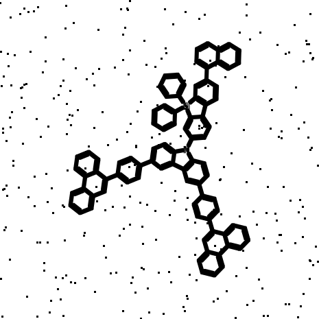 c1ccc([Si]2(c3ccccc3)c3cc(-c4cccc5ccccc45)ccc3-c3ccc(-n4c5ccc(-c6ccc(-c7cc8ccccc8c8ccccc78)cc6)cc5c5cc(-c6ccc(-c7cc8ccccc8c8ccccc78)cc6)ccc54)cc32)cc1